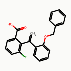 C=C(c1ccccc1OCc1ccccc1)c1c(F)cccc1C(=O)O